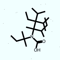 CCC(C)C(C)(N(C(=O)O)C(C)(C)CC)C(CC)(C(C)C)C(C)C